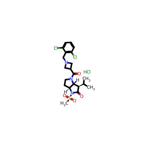 CC(C)[C@H]1C(=O)N(S(C)(=O)=O)[C@H]2CCN(C(=O)C3CN(Cc4c(Cl)cccc4Cl)C3)[C@H]12.Cl